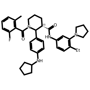 CCc1ccc(NC(=O)[C@H]2CCCN(C(=O)c3c(C)cccc3F)C2c2ccc(NC3CCCC3)cc2)cc1N1CCCC1